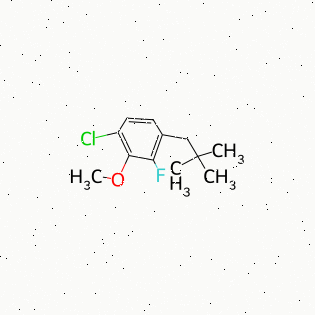 COc1c(Cl)ccc(CC(C)(C)C)c1F